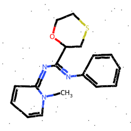 Cn1ccccc1=NC(=Nc1ccccc1)C1CSCCO1